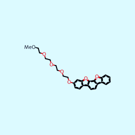 COCCOCCOCCOCCOc1ccc2c(c1)oc1c2ccc2c3ccccc3oc21